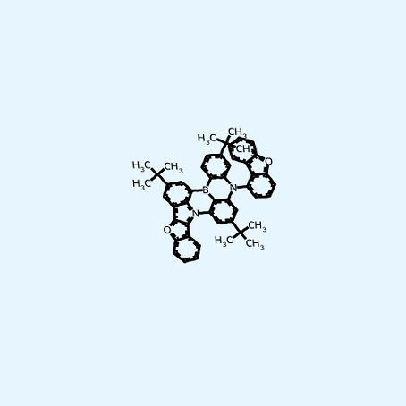 CC(C)(C)c1ccc2c(c1)N(c1cccc3oc4ccccc4c13)c1cc(C(C)(C)C)cc3c1B2c1cc(C(C)(C)C)cc2c4oc5ccccc5c4n-3c12